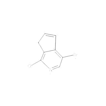 Clc1ncc(Br)c2c1CC=C2